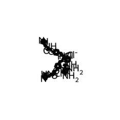 Cl.Cl.Cn1cncc1CNC(=O)COc1ccc(CCC[N+]2(CCCc3ccc(OCC(=O)NCc4cncn4C)cc3)CCC[C@H](NC(=O)c3nc(Cl)c(N)nc3N)C2)cc1.[Cl-]